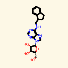 OC[C@H]1O[C@@H](n2cnc3c(NCC4CCc5ccccc54)ncnc32)[C@H](O)[C@@H]1O